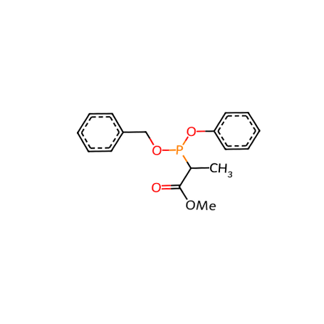 COC(=O)C(C)P(OCc1ccccc1)Oc1ccccc1